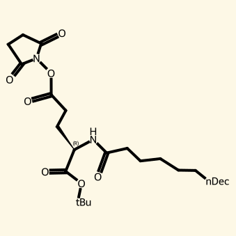 CCCCCCCCCCCCCCCC(=O)N[C@H](CCC(=O)ON1C(=O)CCC1=O)C(=O)OC(C)(C)C